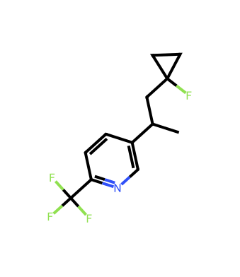 CC(CC1(F)CC1)c1ccc(C(F)(F)F)nc1